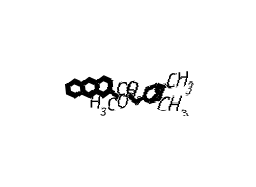 CC1C2CC(CC(=O)OC(C)(C)c3ccc4cc5ccccc5cc4c3)C(C2)C1C